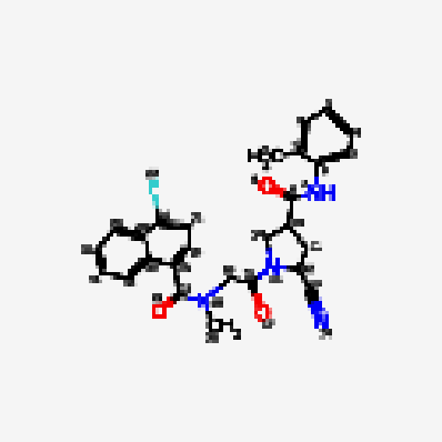 Cc1ccccc1NC(=O)C1CC(C#N)N(C(=O)CN(C)C(=O)c2ccc(F)c3ccccc23)C1